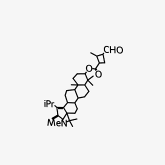 C=C1CC2(C(C)(C)NC)CCC3C(CCC4C3CCC3C(C)(C)C(OC(=O)C5CC(C=O)C5C)CCC43C)C2=C1C(C)C